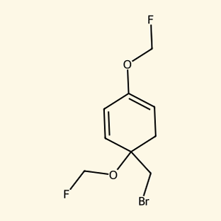 FCOC1=CCC(CBr)(OCF)C=C1